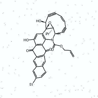 C=CCOC(=O)N1c2c(cc(O)c3c2C(=O)c2cc4ccc(CC)cc4cc2C3=O)[C@@]23O[C@@]2(C(C)C)[C@@H]1C#C/C=C\C#C[C@@H]3O